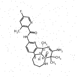 Cc1cc(F)cnc1C(=O)Nc1ccc(F)c([C@@]2(C)N=C(N)C(C)(C)[SH]3(=O)NCCCC[C@@H]23)n1